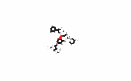 Cn1c(=O)n(CC(=O)c2cccc(Cl)c2)c(=O)c2c1nc(N1CCCC(N)C1)n2Cc1ccccc1Br.O=c1[nH]c(=O)c2[nH]cnc2[nH]1